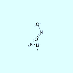 O=N[O-].[Fe].[Li+]